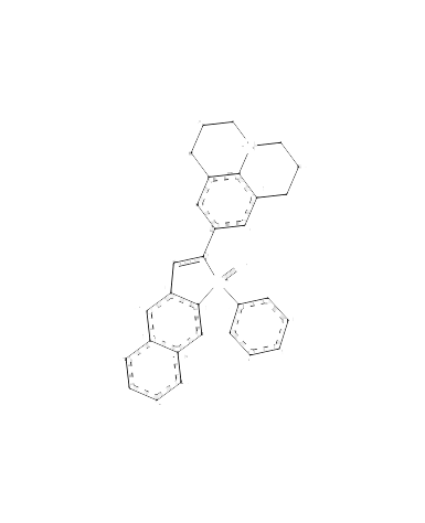 O=P1(c2ccccc2)C(c2cc3c4c(c2)CCCN4CCC3)=Cc2cc3ccccc3cc21